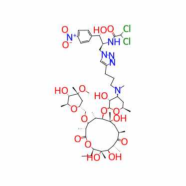 CC[C@H]1OC(=O)[C@H](C)[C@@H](OC[C@H]2C[C@@](C)(OC)[C@@H](O)[C@H](C)O2)[C@H](C)[C@@H](O[C@@H]2O[C@H](C)C[C@H](N(C)CCCc3cn(C[C@H](NC(=O)C(Cl)Cl)[C@@H](O)c4ccc([N+](=O)[O-])cc4)nn3)[C@H]2O)[C@](C)(O)C[C@@H](C)C(=O)[C@H](C)[C@@H](O)[C@]1(C)O